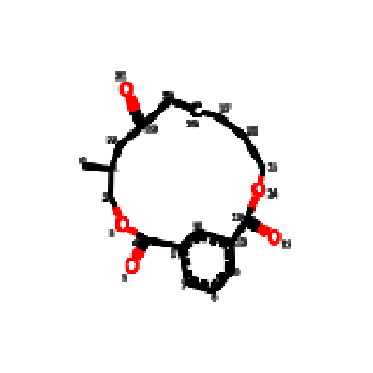 CC1COC(=O)c2cccc(c2)C(=O)OCCCCCC(=O)C1